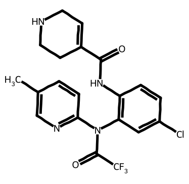 Cc1ccc(N(C(=O)C(F)(F)F)c2cc(Cl)ccc2NC(=O)C2=CCNCC2)nc1